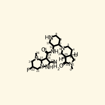 CN1C[C@@H]2CCN(C3CCNCC3NC(=O)C3C(N)NN4CC(F)CN(C)C34)C[C@@H]2C1=O